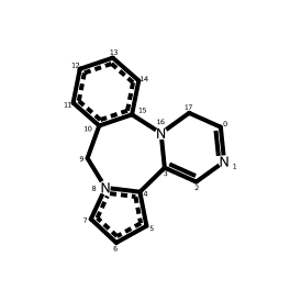 C1=NC=C2c3cccn3Cc3ccccc3N2C1